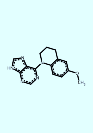 COc1ccc2c(c1)CCCN2c1ncnc2[nH]cnc12